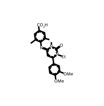 CCn1c(-c2ccc(OC)c(OC)c2)c/c(=N/c2c(C)cc(C(=O)O)cc2C)n(C)c1=O